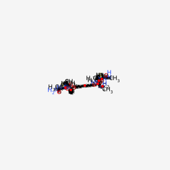 C=C(/C=C\C=C/C)[C@@H](COCCCCCCCCCCCCOC[C@@H](NC(=O)[C@H]1N2C(=O)CC(C[C@H](NC)C(N)=O)CS[C@H]2CC1(C)C)c1ccccc1)NC(=O)[C@H]1N2C(=O)[C@@H](NC(=O)CNC)CCS[C@H]2CC1(C)C